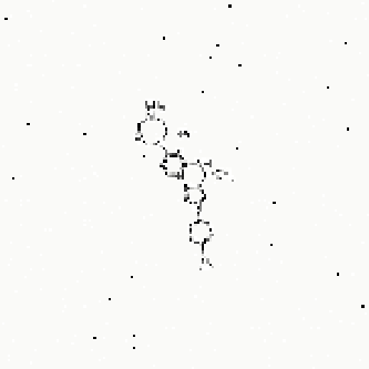 CC(C)[C@H]1CN(C)COCN1c1ccnc(N[C@@H](C)c2cn(-c3ccc(C4CC4)cc3)cn2)n1